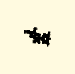 On1[c]c2n(c1=S)C[C@@]1(c3cc(F)cc(F)c3)C[C@@H]21